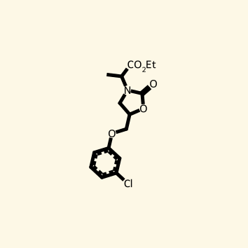 CCOC(=O)C(C)N1CC(COc2cccc(Cl)c2)OC1=O